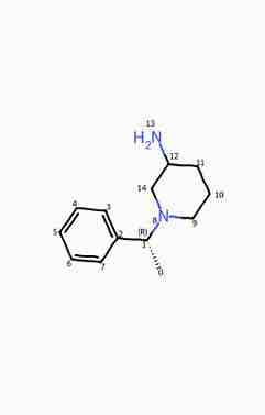 C[C@H](c1ccccc1)N1CCCC(N)C1